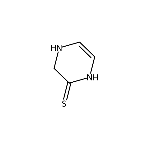 S=C1CNC=CN1